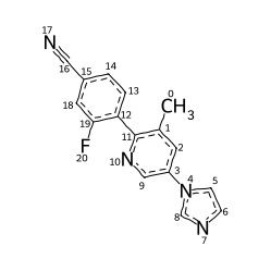 Cc1cc(-n2ccnc2)cnc1-c1ccc(C#N)cc1F